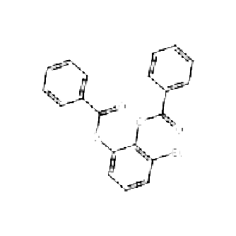 CCc1cccc(OC(=O)c2ccccc2)c1OC(=O)c1ccccc1